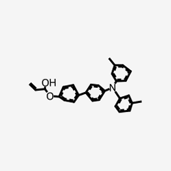 C=CC(O)Oc1ccc(-c2ccc(N(c3cccc(C)c3)c3cccc(C)c3)cc2)cc1